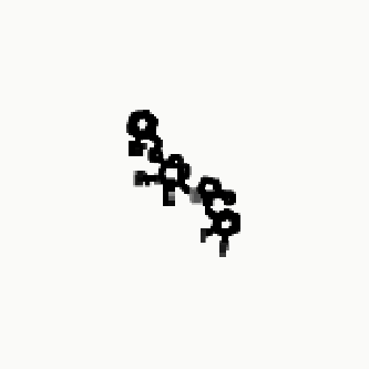 CC(C)[C@H](NC(=O)C[C@@H]1CCC(=O)N1Cc1cccc(F)c1F)C(=O)OCc1ccccc1Br